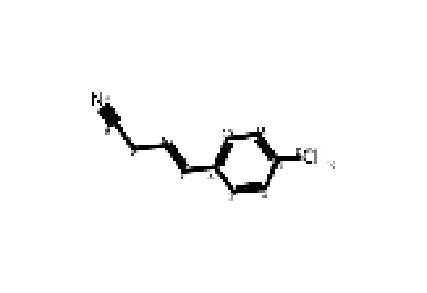 Cc1ccc(C=CCC#N)cc1